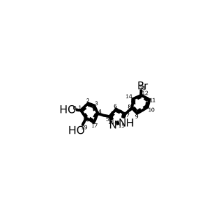 Oc1ccc(-c2cc(-c3cccc(Br)c3)[nH]n2)cc1O